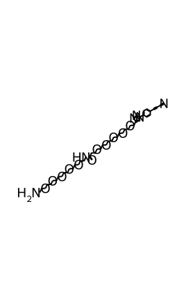 N#CC#Cc1ccc(-n2cc(COCCOCCOCCOCCOCCC(=O)NCCOCCOCCOCCOCCOCCN)nn2)cc1